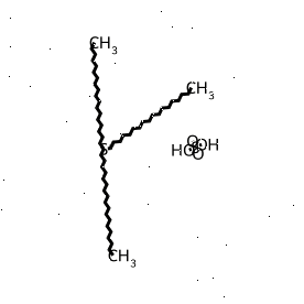 CCCCCCCCCCCCCCCCCC[S+](CCCCCCCCCCCCCCCCCC)CCCCCCCCCCCCCCCCCC.O=S(=O)(O)O